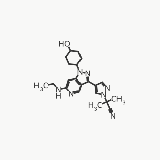 CCNc1cc2c(cn1)c(-c1cnn(C(C)(C)C#N)c1)nn2C1CCC(O)CC1